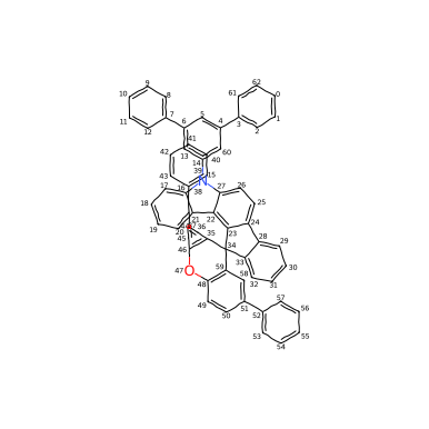 c1ccc(-c2cc(-c3ccccc3)cc(-n3c4ccccc4c4c5c(ccc43)-c3ccccc3C53c4cc(-c5ccccc5)ccc4Oc4ccc(-c5ccccc5)cc43)c2)cc1